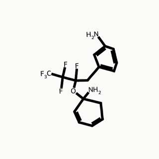 Nc1cccc(CC(F)(OC2(N)C=CC=CC2)C(F)(F)C(F)(F)F)c1